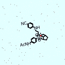 CC(=O)Nc1ccc(S(=O)(=O)N(C)C2C3CCC2CN(CCCNc2ccc(C#N)cc2)C3)cc1